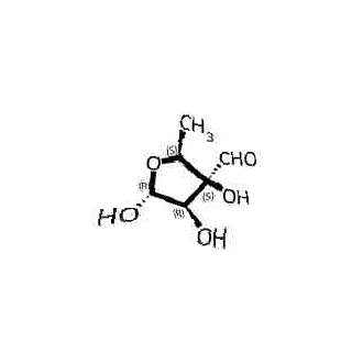 C[C@@H]1O[C@@H](O)[C@H](O)[C@@]1(O)C=O